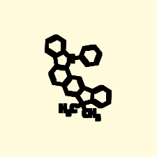 CC1(C)c2ccccc2-c2cc3c(ccc4c5ccccc5n(-c5ccccc5)c34)cc21